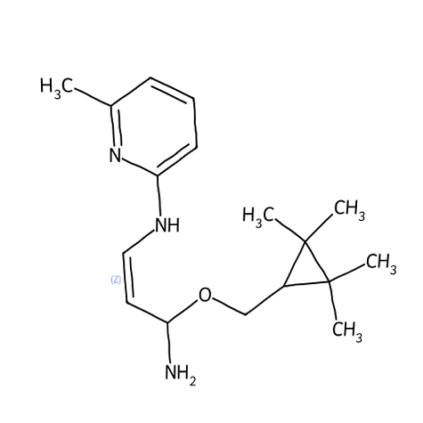 Cc1cccc(N/C=C\C(N)OCC2C(C)(C)C2(C)C)n1